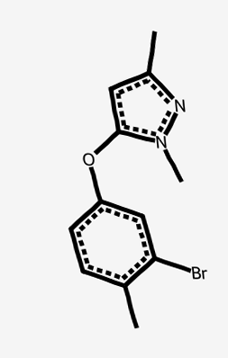 Cc1cc(Oc2ccc(C)c(Br)c2)n(C)n1